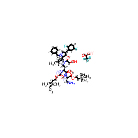 CC(C)(C)[C@H](c1cc(-c2cc(F)ccc2F)cn1Cc1ccccc1)N(CC[C@H](NC(=O)OCC[Si](C)(C)C)C(=O)N[C@H](CN)C(=O)OCC[Si](C)(C)C)C(=O)CO.O=C(O)C(F)(F)F